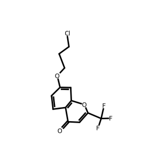 O=c1cc(C(F)(F)F)oc2cc(OCCCCl)ccc12